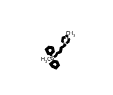 CN1CCN(C/C=C/CCS(C)(c2ccccc2)c2ccccc2)CC1